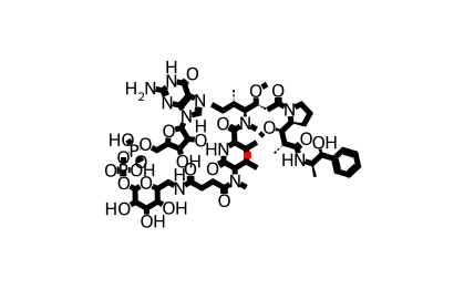 CC[C@H](C)[C@@H]([C@@H](CC(=O)N1CCC[C@H]1[C@H](OC)[C@@H](C)C(=O)N[C@H](C)[C@@H](O)c1ccccc1)OC)N(C)C(=O)C(NC(=O)C(C(C)C)N(C)C(=O)CCC(=O)NCC1OC(OP(=O)(O)OP(=O)(O)OCC2OC(n3cnc4c(=O)[nH]c(N)nc43)C(O)C2O)C(O)C(O)C1O)C(C)C